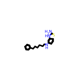 NC(=S)Nc1cccc(NCCCCCCc2ccccc2)c1